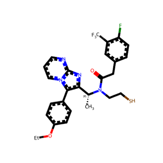 CCOc1ccc(-c2c([C@@H](C)N(CCS)C(=O)Cc3ccc(F)c(C(F)(F)F)c3)nc3ncccn23)cc1